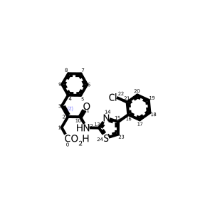 O=C(O)C/C(=C/c1ccccc1)C(=O)Nc1nc(-c2ccccc2Cl)cs1